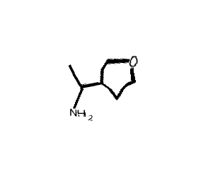 CC(N)C1CCOC1